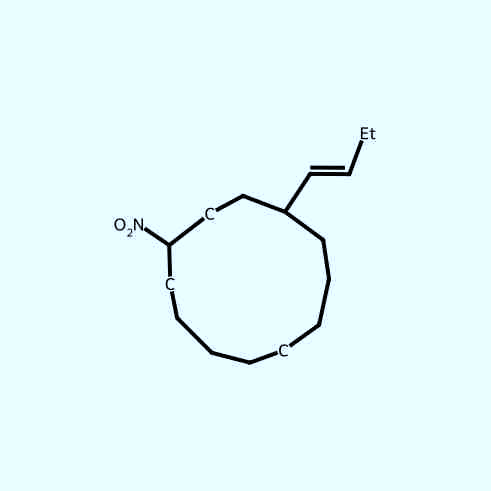 CCC=CC1CCCCCCCCC([N+](=O)[O-])CC1